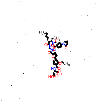 CCCCC[C@@H](C(=O)NCNC(=O)c1ccc(-c2ccc(C(=O)N[C@@H](CC(=O)O)C(=O)O)c(OCC)c2)o1)[C@@H](CC)N(C=O)OC(=O)c1ccc(N2CCCC2=O)cc1